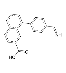 N=Cc1ccc(-c2cccc3ccc(C(=O)O)cc23)cc1